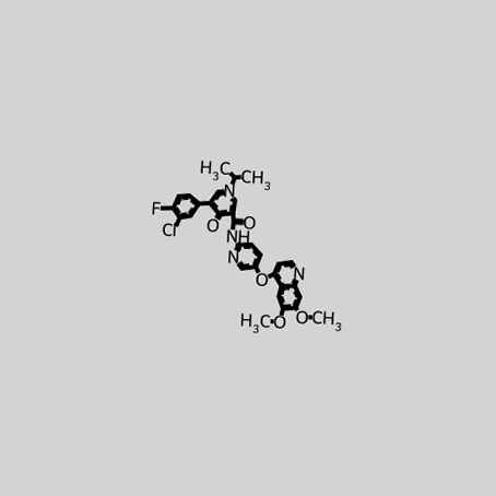 COc1cc2nccc(Oc3ccc(NC(=O)c4cn(C(C)C)cc(-c5ccc(F)c(Cl)c5)c4=O)nc3)c2cc1OC